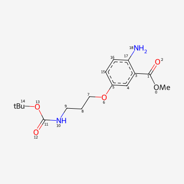 COC(=O)c1cc(OCCCNC(=O)OC(C)(C)C)ccc1N